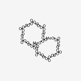 COCOC(=O)OCOOCOC(=O)OCOOCOC(=O)OCOOCOC(=O)OCOOCOC(=O)OCOOCOC(=O)OCOOCOC(=O)OCOOCOC(=O)OCOOCOC(=O)OCOOCOC(=O)OCOC